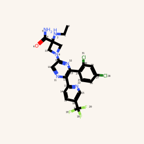 CCNC1(C(N)=O)CN(c2cnc(-c3ccc(C(F)(F)F)cn3)c(-c3ccc(Cl)cc3Cl)n2)C1